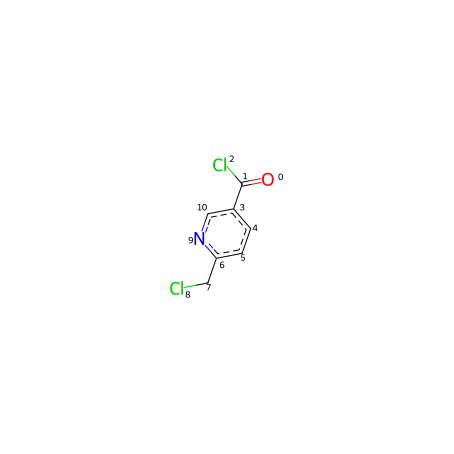 O=C(Cl)c1ccc(CCl)nc1